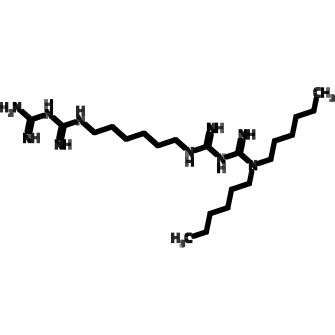 CCCCCCN(CCCCCC)C(=N)NC(=N)NCCCCCCNC(=N)NC(=N)N